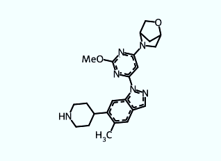 COc1nc(N2CC3CC2CO3)cc(-n2ncc3cc(C)c(C4CCNCC4)cc32)n1